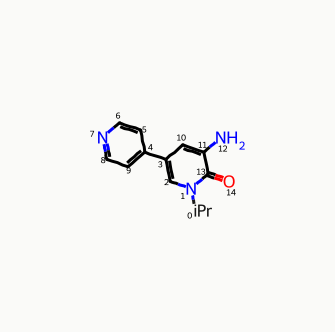 CC(C)n1cc(-c2ccncc2)cc(N)c1=O